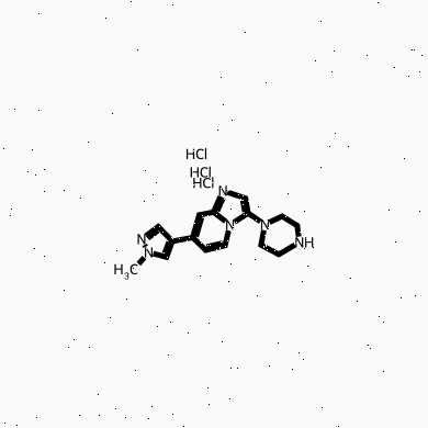 Cl.Cl.Cl.Cn1cc(-c2ccn3c(N4CCNCC4)cnc3c2)cn1